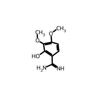 COc1ccc(C(=N)N)c(O)c1OC